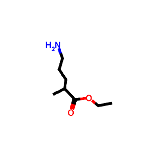 CCOC(=O)C(C)CCCN